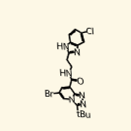 CC(C)(C)c1nnc2c(C(=O)NCCc3nc4cc(Cl)ccc4[nH]3)cc(Br)cn12